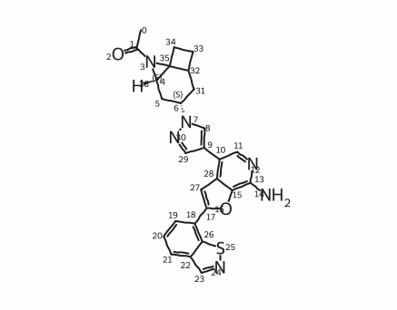 CC(=O)N1[C@H]2C[C@@H](n3cc(-c4cnc(N)c5oc(-c6cccc7cnsc67)cc45)cn3)CC3CCC321